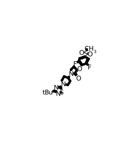 CC(C)(C)c1nsc(N2CCC(N3CCC(Oc4c(F)cc(S(C)(=O)=O)cc4F)C3=O)CC2)n1